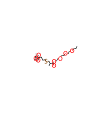 CCCOCCOCCOCCOC(=O)C(C)CSCCC[Si](OC)(OC)OC